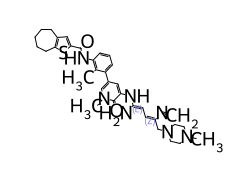 C=N/C(=C\C=C(/N)Nc1cc(-c2cccc(NC(=O)c3cc4c(s3)CCCCC4)c2C)cn(C)c1=O)CN1CCN(C)CC1